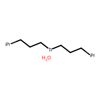 CC(C)CC[CH2][Ti][CH2]CCC(C)C.O